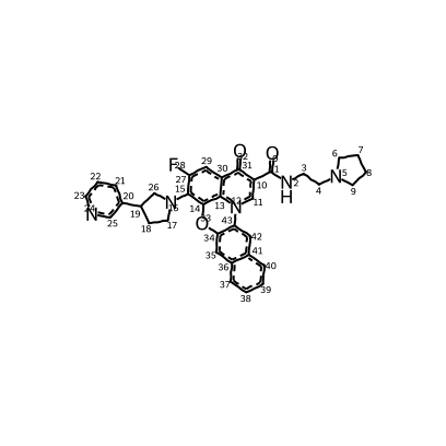 O=C(NCCN1CCCC1)c1cn2c3c(c(N4CCC(c5cccnc5)C4)c(F)cc3c1=O)Oc1cc3ccccc3cc1-2